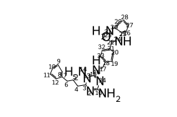 NC1=NC(CCCc2ccccc2)N(N)C(NCc2ccc(C(=O)Nc3ccccc3N)cc2)=N1